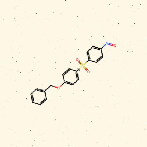 O=Nc1ccc(S(=O)(=O)c2ccc(OCc3ccccc3)cc2)cc1